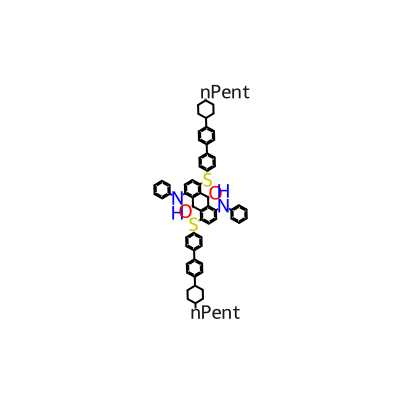 CCCCCC1CCC(c2ccc(-c3ccc(Sc4ccc(Nc5ccccc5)c5c4C(=O)c4c(Nc6ccccc6)ccc(Sc6ccc(-c7ccc(C8CCC(CCCCC)CC8)cc7)cc6)c4C5=O)cc3)cc2)CC1